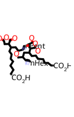 CCCCC/C=C/C(CC(CCCCCCCC(=O)O)C1CC(=O)OC1=O)OCC(/C=C/CCCCCC)CC(CCCCCCCC(=O)O)C1CC(=O)OC1=O